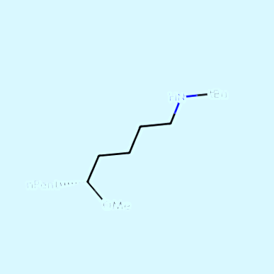 CCCCC[C@H](CCCCNC(C)(C)C)OC